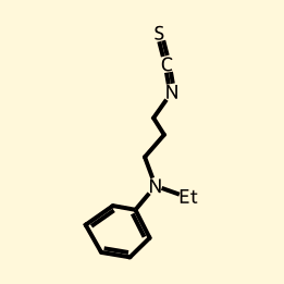 CCN(CCCN=C=S)c1ccccc1